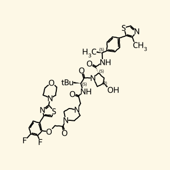 Cc1ncsc1-c1ccc([C@H](C)NC(=O)[C@@H]2C[C@@H](O)CN2C(=O)[C@@H](NC(=O)CN2CCN(C(=O)COc3c(-c4csc(N5CCOCC5)n4)ccc(F)c3F)CC2)C(C)(C)C)cc1